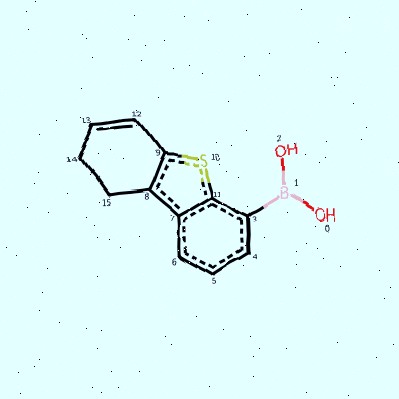 OB(O)c1cccc2c3c(sc12)C=CCC3